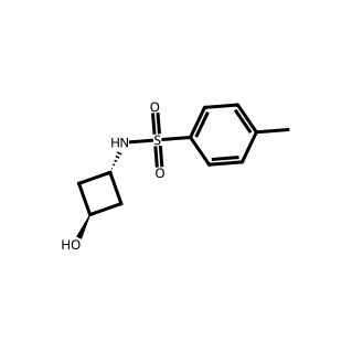 Cc1ccc(S(=O)(=O)N[C@H]2C[C@H](O)C2)cc1